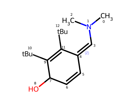 CN(C)/C=C1/C=CC(O)C(C(C)(C)C)=C1C(C)(C)C